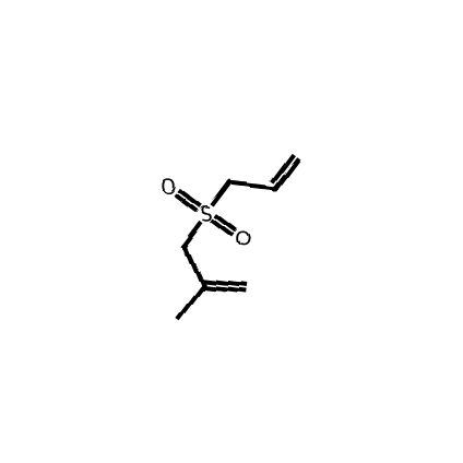 C=CCS(=O)(=O)CC(=C)C